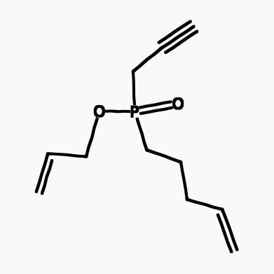 C#CCP(=O)(CCCC=C)OCC=C